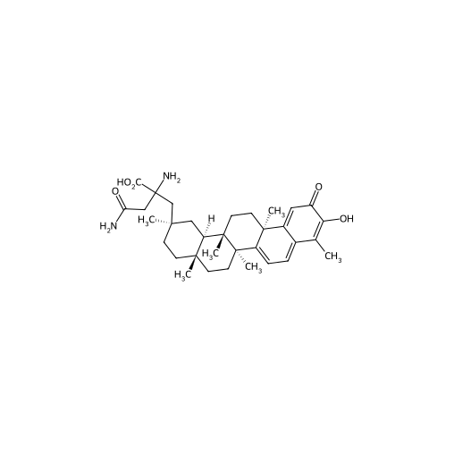 CC1=C(O)C(=O)C=C2C1=CC=C1[C@@]2(C)CC[C@@]2(C)[C@@H]3C[C@](C)(CC(N)(CC(N)=O)C(=O)O)CC[C@@]3(C)CC[C@]12C